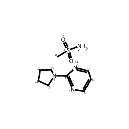 CS(N)(=O)=O.c1cnc(N2CCCC2)nc1